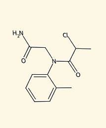 Cc1ccccc1N(CC(N)=O)C(=O)C(C)Cl